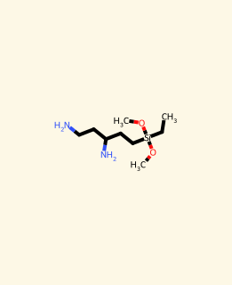 CC[Si](CCC(N)CCN)(OC)OC